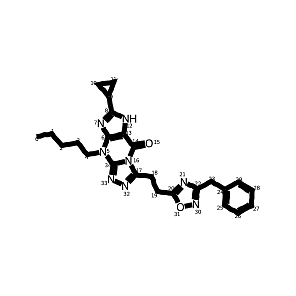 CCCCCn1c2nc(C3CC3)[nH]c2c(=O)n2c(CCc3nc(Cc4ccccc4)no3)nnc12